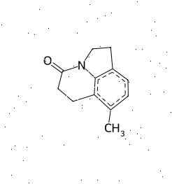 Cc1ccc2c3c1CCC(=O)N3CC2